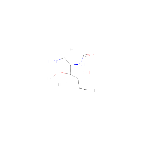 CC[C@@H](O)[C@@](C)(OC)[C@H](NC=O)[C@@H](C)N